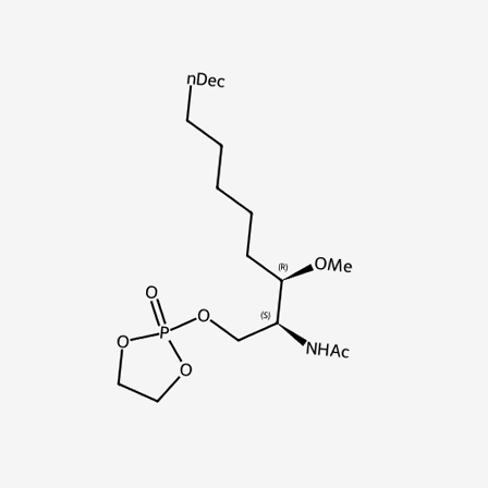 CCCCCCCCCCCCCCC[C@@H](OC)[C@H](COP1(=O)OCCO1)NC(C)=O